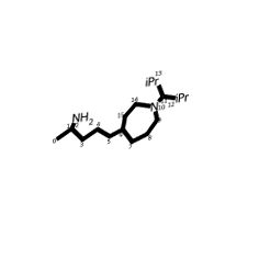 CC(N)CCCC1CCCN(C(C(C)C)C(C)C)CC1